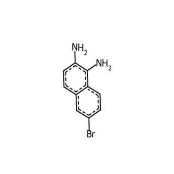 Nc1ccc2cc(Br)ccc2c1N